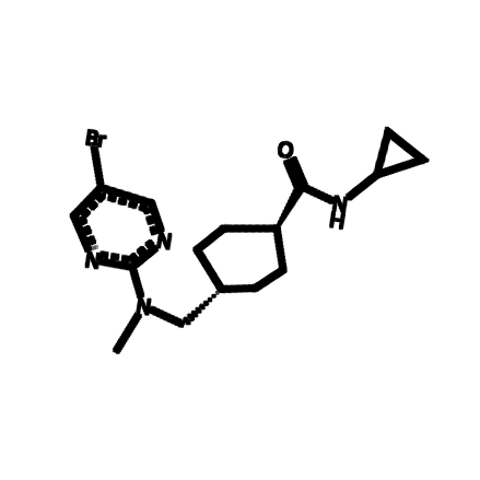 CN(C[C@H]1CC[C@H](C(=O)NC2CC2)CC1)c1ncc(Br)cn1